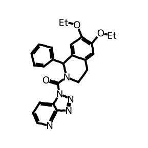 CCOc1cc2c(cc1OCC)C(c1ccccc1)N(C(=O)n1nnc3ncccc31)CC2